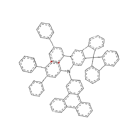 c1ccc(-c2cccc(-c3cc4c(cc3N(c3ccc(-c5ccccc5)c(-c5ccccc5)c3)c3ccc5c6ccccc6c6ccccc6c5c3)C3(c5ccccc5-c5ccccc53)c3ccccc3-4)c2)cc1